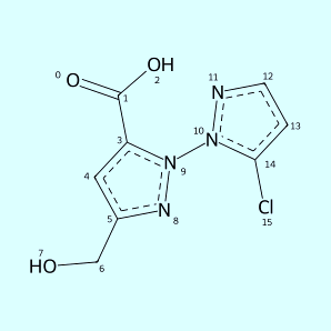 O=C(O)c1cc(CO)nn1-n1nccc1Cl